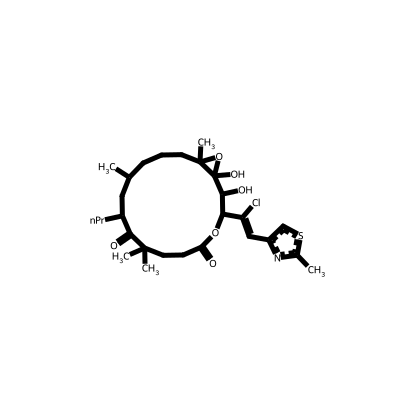 CCCC1CC(C)CCCC2(C)OC2(O)C(O)C(C(Cl)=Cc2csc(C)n2)OC(=O)CCC(C)(C)C1=O